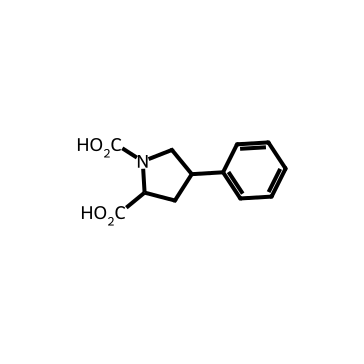 O=C(O)C1CC(c2ccccc2)CN1C(=O)O